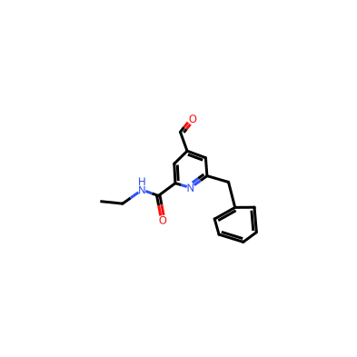 CCNC(=O)c1cc(C=O)cc(Cc2ccccc2)n1